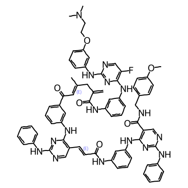 C=C(C/C(C)=C/C(=O)c1cccc(Nc2nc(Nc3ccccc3)ncc2/C=C/C(=O)Nc2cccc(Nc3nc(Nc4ccccc4)ncc3C(=O)NCc3ccc(OC)cc3)c2)c1)C(=O)Nc1cccc(Nc2nc(Nc3cccc(OCCN(C)C)c3)ncc2F)c1